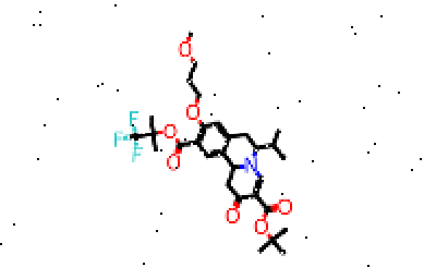 COCCCOc1cc2c(cc1C(=O)OC(C)(C)C(F)(F)F)C1CC(=O)C(C(=O)OC(C)(C)C)=CN1C(C(C)C)C2